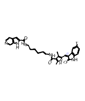 Cc1[nH]c(/C=C2\C(=O)Nc3ccc(F)cc32)c(C)c1C(=O)NCCCCCCNC(=O)c1cc2ccncc2[nH]1